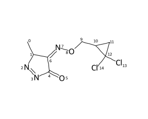 CC1N=NC(=O)C1=NOCC1CC1(Cl)Cl